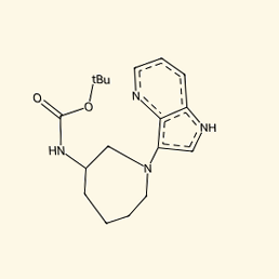 CC(C)(C)OC(=O)NC1CCCCN(c2c[nH]c3cccnc23)C1